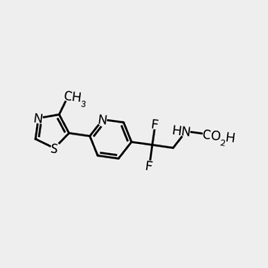 Cc1ncsc1-c1ccc(C(F)(F)CNC(=O)O)cn1